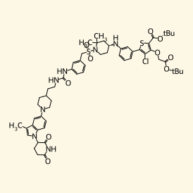 Cc1cn(C2CCC(=O)NC2=O)c2ccc(N3CCC(CCNC(=O)Nc4cccc(CS(=O)(=O)N5CC[C@H](Nc6cccc(-c7sc(C(=O)OC(C)(C)C)c(OCC(=O)OC(C)(C)C)c7Cl)c6)CC5(C)C)c4)CC3)cc12